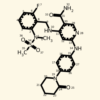 CN(c1cccc(F)c1CNc1cc(Nc2ccc(N3CCCCC3=O)cc2)ncc1C(N)=O)S(C)(=O)=O